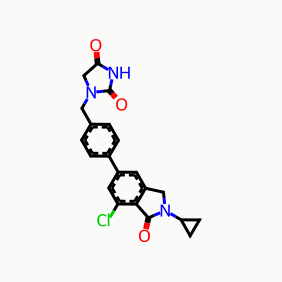 O=C1CN(Cc2ccc(-c3cc(Cl)c4c(c3)CN(C3CC3)C4=O)cc2)C(=O)N1